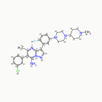 Cc1nc2c(-c3cc(N4CCN(C5CCN(C)CC5)CC4)ccc3F)cnn2c(N)c1-c1cccc(Cl)c1